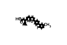 Cc1ccc(F)c(-c2ccc(C3CCc4ccc(C(CC(=O)O)C5CC5)nc4O3)cc2)c1